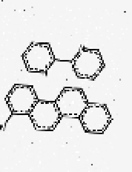 Nc1cccc2c1ccc1c3ccccc3ccc21.c1ccc(-c2ccccn2)nc1